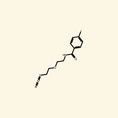 [N-]=[N+]=NCCOCCNC(=O)c1ccc(I)cc1